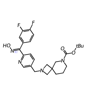 CC(C)(C)OC(=O)N1CCCC2(CN(Cc3ccc(/C(=N/O)c4ccc(F)c(F)c4)nc3)C2)C1